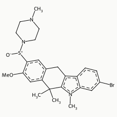 COc1cc2c(cc1[S+]([O-])N1CCN(C)CC1)Cc1c(n(C)c3cc(Br)ccc13)C2(C)C